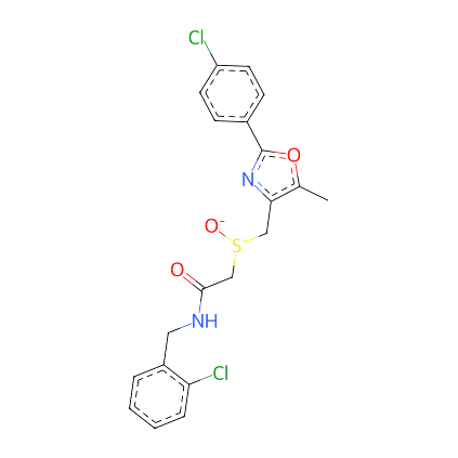 Cc1oc(-c2ccc(Cl)cc2)nc1C[S+]([O-])CC(=O)NCc1ccccc1Cl